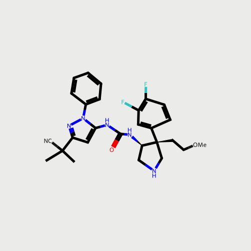 COCC[C@@]1(c2ccc(F)c(F)c2)CNC[C@H]1NC(=O)Nc1cc(C(C)(C)C#N)nn1-c1ccccc1